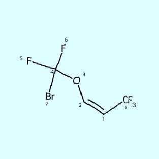 FC(F)(F)/C=C\OC(F)(F)Br